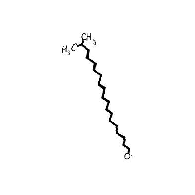 CC(C)CCCCCCCCCCCCCCCCC[O]